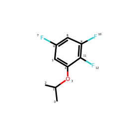 CC(C)Oc1cc(F)cc(F)c1F